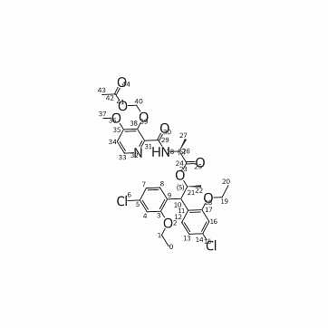 CCOc1cc(Cl)ccc1C(c1ccc(Cl)cc1OCC)[C@H](C)OC(=O)[C@H](C)NC(=O)c1nccc(OC)c1OCOC(C)=O